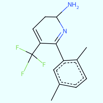 Cc1ccc(C)c(C2=NC(N)CC=C2C(F)(F)F)c1